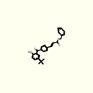 CC(C)(C)c1ccc(O)c(C(=O)c2ccc(/C=C/C(=O)OCc3ccccc3)cc2)c1